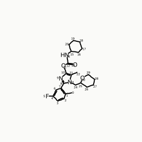 Cc1ccc(F)cc1-c1nc(OC(=O)NC2CCCCC2)c(C)n1CC1CCCCO1